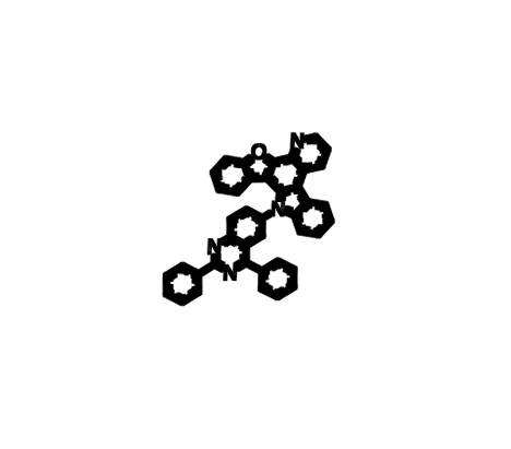 c1ccc(-c2nc(-c3ccccc3)c3cc(-n4c5ccccc5c5c6cccnc6c6oc7ccccc7c6c54)ccc3n2)cc1